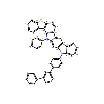 c1ccc(-c2cccc(-c3ccc(-n4c5ccccc5c5cc6c7ccc8sc9ccccc9c8c7n(-c7ccccc7)c6cc54)cc3)c2)cc1